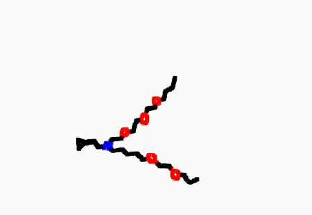 CCCCOCCOCCOCCN(CC=C1CC1)CCCCCOCCOCCC